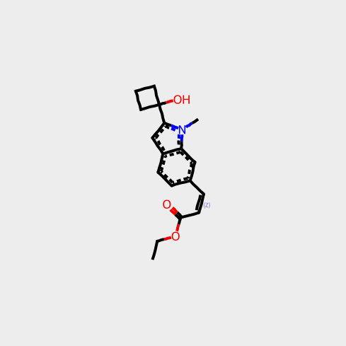 CCOC(=O)/C=C\c1ccc2cc(C3(O)CCC3)n(C)c2c1